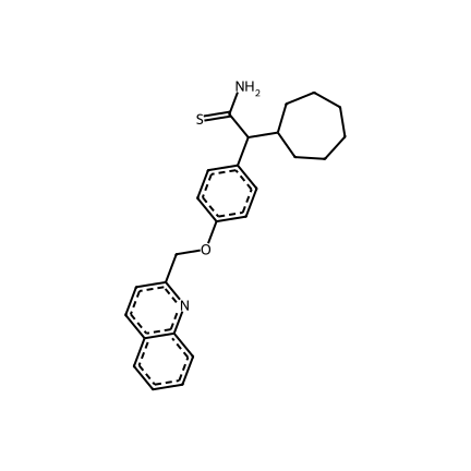 NC(=S)C(c1ccc(OCc2ccc3ccccc3n2)cc1)C1CCCCCC1